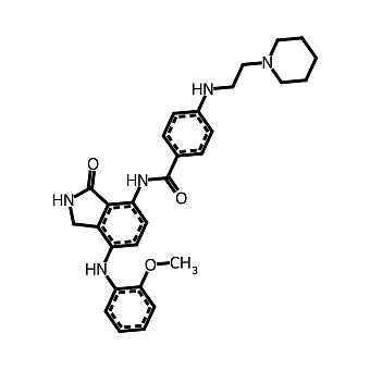 COc1ccccc1Nc1ccc(NC(=O)c2ccc(NCCN3CCCCC3)cc2)c2c1CNC2=O